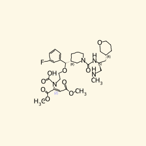 CNC[C@H](C[C@H]1CCCOC1)NC(=O)N1CCC[C@@H](C(OCCN(C(=O)O)/C(=C\C(=O)OC)C(=O)OC)c2cccc(F)c2)C1